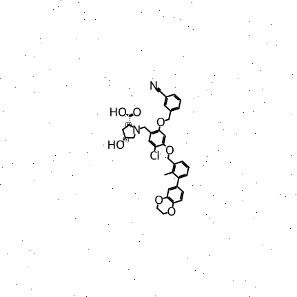 Cc1c(COc2cc(OCc3cccc(C#N)c3)c(CN3C[C@@H](O)C[C@@H]3C(=O)O)cc2Cl)cccc1-c1ccc2c(c1)OCCO2